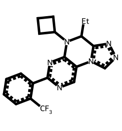 CCC1c2nncn2-c2cnc(-c3ccccc3C(F)(F)F)nc2N1C1CCC1